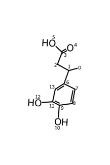 CC(CC(=O)O)c1ccc(O)c(O)c1